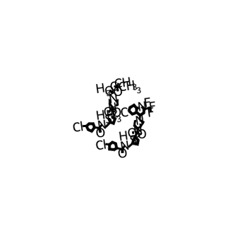 CC(C)(C)OC(=O)N1CCN(S(=O)(=O)c2ccc(CNC(=O)c3ccc(Cl)cc3)s2)CC1.Cc1ccc2nc(C(F)(F)F)cc(N3CCN(S(=O)(=O)c4ccc(CNC(=O)c5ccc(Cl)cc5)s4)CC3)c2c1